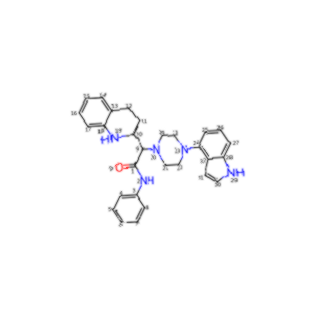 O=C(Nc1ccccc1)C(C1CCc2ccccc2N1)N1CCN(c2cccc3[nH]ccc23)CC1